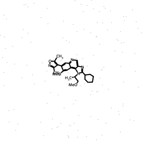 COC[C@@H](C)n1c(C2CCCCC2)nc2cnc3cc(-c4c(C)noc4C)c(OC)cc3c21